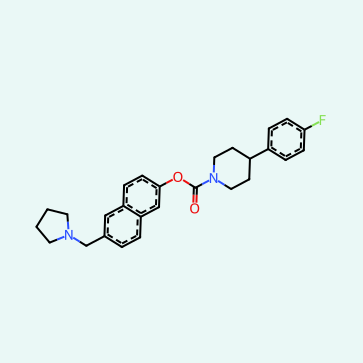 O=C(Oc1ccc2cc(CN3CCCC3)ccc2c1)N1CCC(c2ccc(F)cc2)CC1